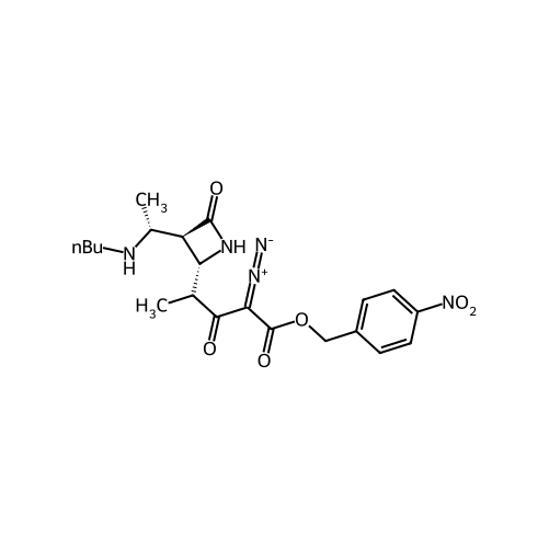 CCCCN[C@H](C)[C@H]1C(=O)N[C@@H]1C(C)C(=O)C(=[N+]=[N-])C(=O)OCc1ccc([N+](=O)[O-])cc1